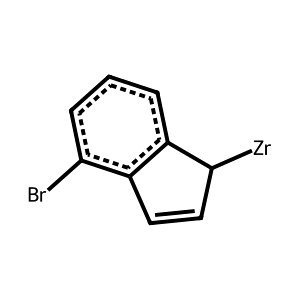 Brc1cccc2c1C=C[CH]2[Zr]